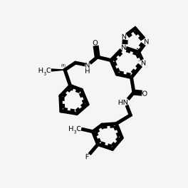 Cc1cc(CNC(=O)c2cc(C(=O)NC[C@H](C)c3ccccc3)n3ncnc3n2)ccc1F